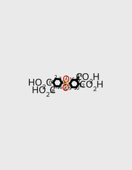 O=C(O)C1CCC(S(=O)(=O)C2CCC(C(=O)O)C(C(=O)O)C2)CC1C(=O)O